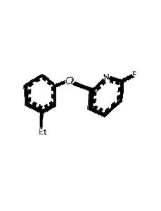 CCc1cccc(Oc2cccc(F)n2)c1